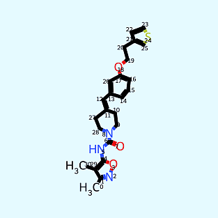 Cc1noc(NC(=O)N2CCC(=Cc3cccc(OCCc4ccsc4)c3)CC2)c1C